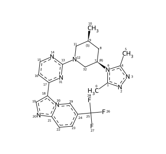 Cc1nnc(C)n1[C@@H]1C[C@H](C)CN(c2nccc(-c3cnc4ccc(C(F)(F)F)cn34)n2)C1